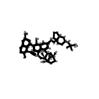 C#Cc1c(F)ccc2cc(O)cc(-c3nc4c5c(nc(OC[C@@]67CCCN6C[C@H](OC(C)(C)C(F)(F)F)CC7)nc5c3F)N3C[C@H]5CC[C@H](N5)[C@H]3CO4)c12